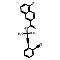 CC(C)(C#Cc1ccccc1C#N)NC(=O)c1cnc2c(F)cccc2c1